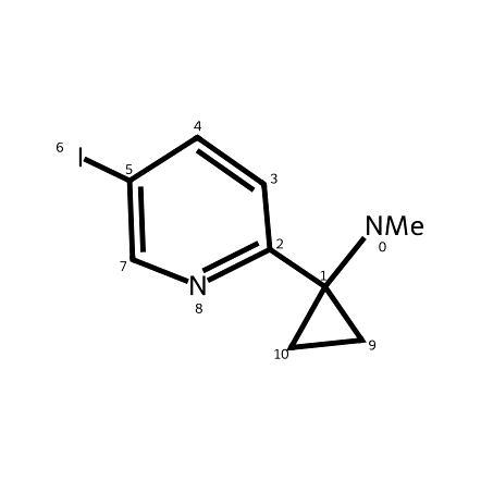 CNC1(c2ccc(I)cn2)CC1